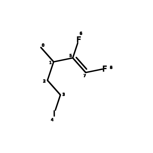 CC(CCI)C(F)=CF